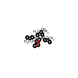 CC1(C)CC(C)(c2ccc(N(c3ccc4c(c3)C(C)(C)c3ccccc3-4)c3ccc4oc5ccccc5c4c3)cc2)c2cc(N(c3ccc4c(c3)C(C)(C)c3ccccc3-4)c3ccc4oc5ccccc5c4c3)ccc21